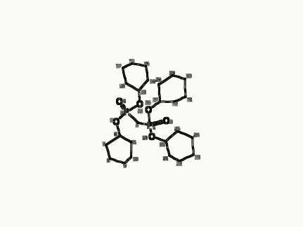 O=P(CP(=O)(OC1CCCCC1)OC1CCCCC1)(OC1CCCCC1)OC1CCCCC1